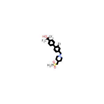 CCc1cc(CN2CCC(CS(C)(=O)=O)CC2)ccc1-c1ccc(C(O)(C(F)(F)F)C(F)(F)F)cc1